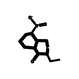 CCn1ccc2c([N+](=O)[O-])cccc2c1=O